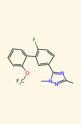 Cc1nc(-c2ccc(F)c(-c3ccccc3OC(F)(F)F)c2)n(C)n1